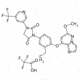 CCc1cc(N2C(=O)CN(c3cncc(C(F)(F)F)c3)C2=O)ccc1Oc1cc(OC)nn2ccnc12.O=C(O)C(F)(F)F